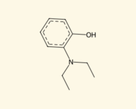 CCN(CC)c1ccccc1O